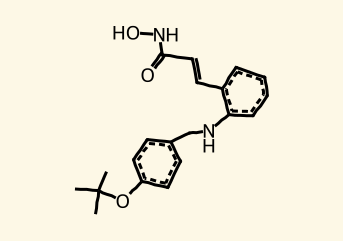 CC(C)(C)Oc1ccc(CNc2ccccc2/C=C/C(=O)NO)cc1